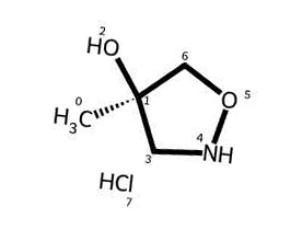 C[C@@]1(O)CNOC1.Cl